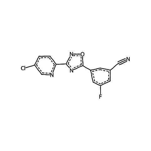 N#Cc1cc(F)cc(-c2nc(-c3ccc(Cl)cn3)no2)c1